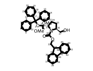 COC(OC)(OC(c1ccccc1)(c1ccccc1)c1ccccc1)[C@@H]1CC[C@@H](CO)N1C(=O)OCC1c2ccccc2-c2ccccc21